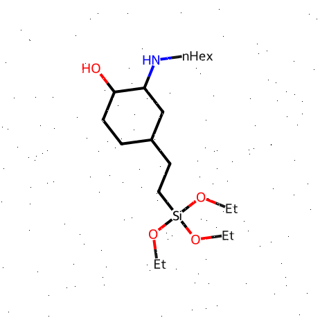 CCCCCCNC1CC(CC[Si](OCC)(OCC)OCC)CCC1O